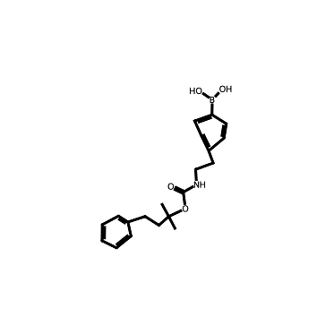 CC(C)(CCc1ccccc1)OC(=O)NCCc1ccc(B(O)O)cc1